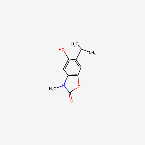 CC(C)c1cc2oc(=O)n(C)c2cc1O